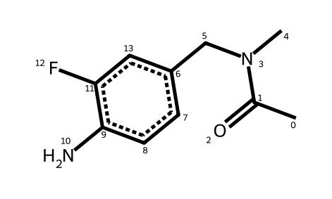 CC(=O)N(C)Cc1ccc(N)c(F)c1